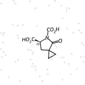 O=C(O)[C@@H]1CC2(CC2)C(=O)N1C(=O)O